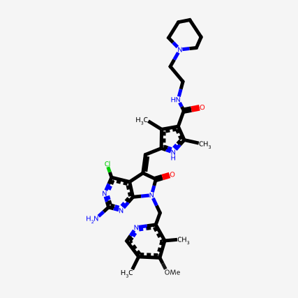 COc1c(C)cnc(CN2C(=O)C(=Cc3[nH]c(C)c(C(=O)NCCN4CCCCC4)c3C)c3c(Cl)nc(N)nc32)c1C